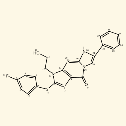 O=c1c2nc(Sc3ccc(F)cc3)n(CCO)c2nc2[nH]c(-c3ccccc3)cn12